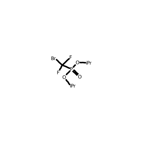 CC(C)OP(=O)(OC(C)C)C(F)(F)Br